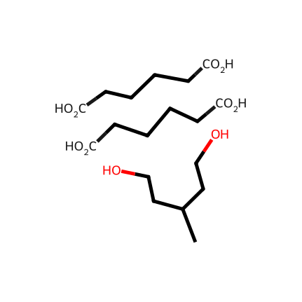 CC(CCO)CCO.O=C(O)CCCCC(=O)O.O=C(O)CCCCC(=O)O